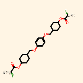 CC[C@@H](F)C(=O)OC1CCC(COc2ccc(OCC3CCC(OC(=O)[C@H](F)CC)CC3)cc2)CC1